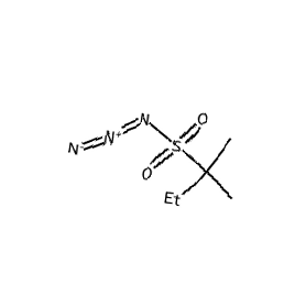 CCC(C)(C)S(=O)(=O)N=[N+]=[N-]